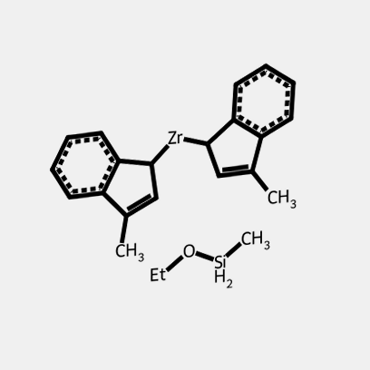 CC1=C[CH]([Zr][CH]2C=C(C)c3ccccc32)c2ccccc21.CCO[SiH2]C